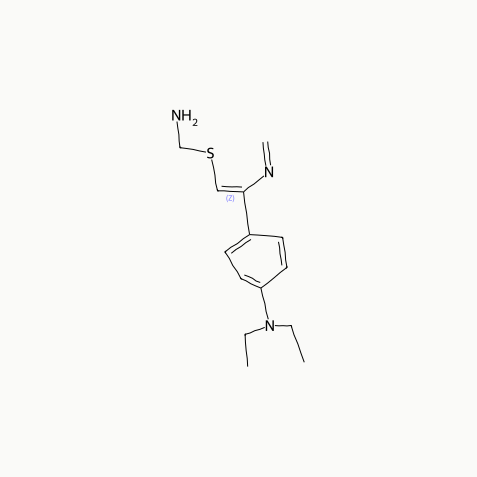 C=N/C(=C\SCN)c1ccc(N(CC)CC)cc1